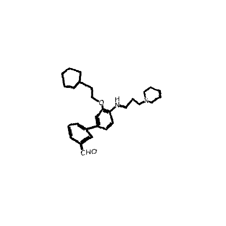 O=Cc1cccc(-c2ccc(NCCCN3CCCCC3)c(OCCC3CCCCC3)c2)c1